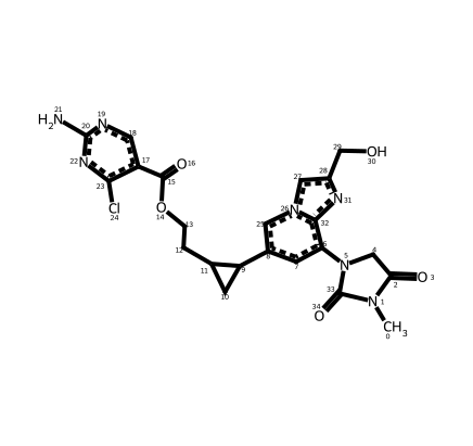 CN1C(=O)CN(c2cc(C3CC3CCOC(=O)c3cnc(N)nc3Cl)cn3cc(CO)nc23)C1=O